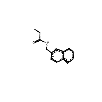 CCC(=O)NCc1ccc2ccccc2c1